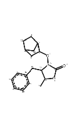 CC1OC(=O)N(OC2CC3CCC2C3)C1Cc1ccccc1